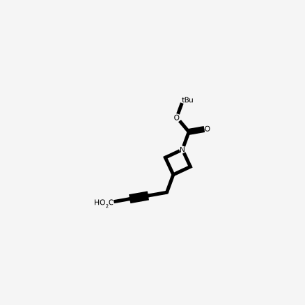 CC(C)(C)OC(=O)N1CC(CC#CC(=O)O)C1